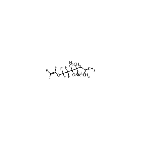 COC(C)(C(C)(C)CN(C)C)C(F)(F)C(F)(F)OC(F)=C(F)F